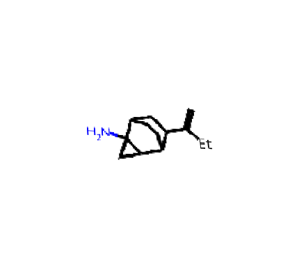 C=C(CC)C1CC2CCC1C1CC21N